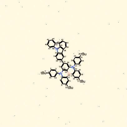 CC(C)(C)c1ccc(N2c3ccc(C(C)(C)C)cc3B3c4cc(C(C)(C)C)ccc4N(c4ccc(C(C)(C)C)cc4)c4cc(-c5ccc6c(c5)c5cccc7c8ccccc8n6c75)cc2c43)cc1